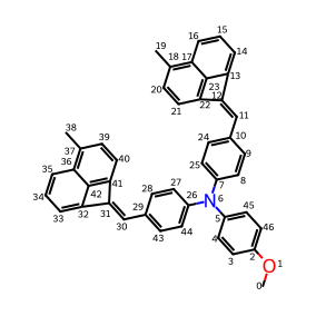 COc1ccc(N(c2ccc(C=c3c4cccc5c(C)ccc3c54)cc2)c2ccc(C=c3c4cccc5c(C)ccc3c54)cc2)cc1